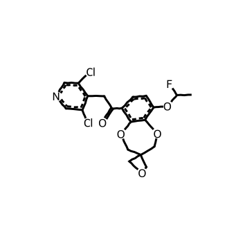 CC(F)Oc1ccc(C(=O)Cc2c(Cl)cncc2Cl)c2c1OCC1(COC1)CO2